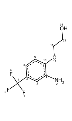 Nc1cc(C(F)(F)F)ccc1OCCO